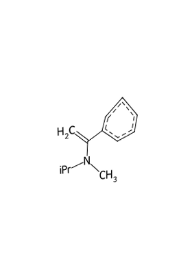 C=C(c1ccccc1)N(C)C(C)C